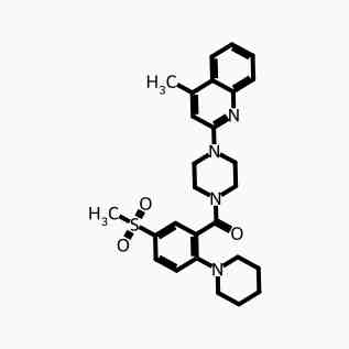 Cc1cc(N2CCN(C(=O)c3cc(S(C)(=O)=O)ccc3N3CCCCC3)CC2)nc2ccccc12